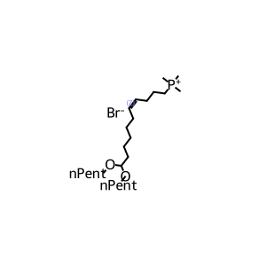 CCCCCOC(CCCCC/C=C\CCC[P+](C)(C)C)OCCCCC.[Br-]